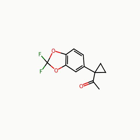 CC(=O)C1(c2ccc3c(c2)OC(F)(F)O3)CC1